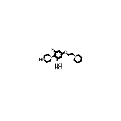 Cl.Cl.Fc1cc(OCCN2CCCCC2)cc(F)c1N1CCNCC1